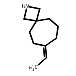 C/C=C1/CCCC2(CC1)CNC2